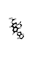 CN1COc2c(N3CC4NCCOC4C3)c(F)cc3c(=O)c(OC(=O)O)cn1c23